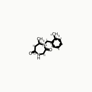 Cc1ccccc1CN1C(=O)CNC(=O)CC1C